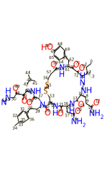 CC[C@H](C)C1NN[C@@H](CCC(N)=O)C(=O)N[C@@H](CC(N)=O)C(=O)N[C@H](C(=O)N(CCc2ccc(C)cc2)CC(=O)N[C@@H](CC(C)C)C(=O)C(=O)CNN)CSSCCC(=O)N[C@@H](Cc2ccc(O)cc2)C(=O)C1=O